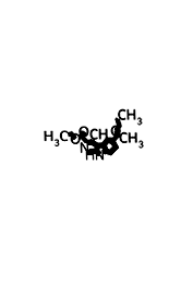 CCCOC(C)c1ccc2[nH]c3cnc(C(=O)OCC)c(C)c3c2c1